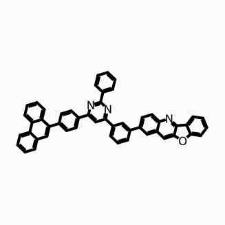 c1ccc(-c2nc(-c3ccc(-c4cc5ccccc5c5ccccc45)cc3)cc(-c3cccc(-c4ccc5nc6c(cc5c4)oc4ccccc46)c3)n2)cc1